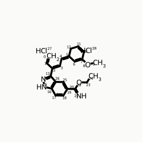 C=CC(=CC=C1C=C(OC)C=CC1)c1n[nH]c2ccc(C(=N)OCC)cc12.Cl.Cl